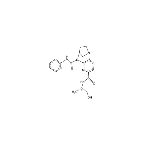 C[C@@H](CO)NC(=O)c1ccc2c(n1)N(C(=O)Nc1ccccn1)C1CCN2C1